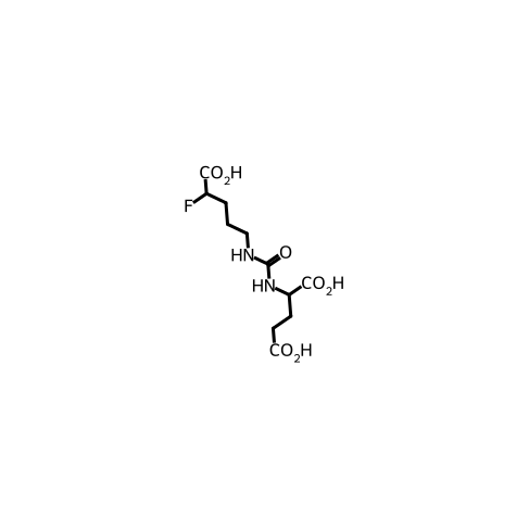 O=C(O)CCC(NC(=O)NCCCC(F)C(=O)O)C(=O)O